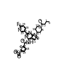 CCCC(=O)N1CCC(n2ncc3c(NC(=O)c4ccc([N+](=O)[O-])s4)nc(-c4ccc(F)nc4)nc32)CC1